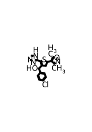 Cc1noc(C)c1C1CC(C(O)c2ccc(Cl)cc2)=C(c2nnc[nH]2)S1